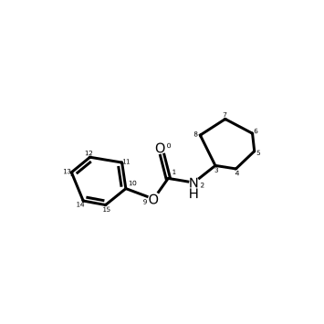 O=C(NC1CCCCC1)Oc1cc[c]cc1